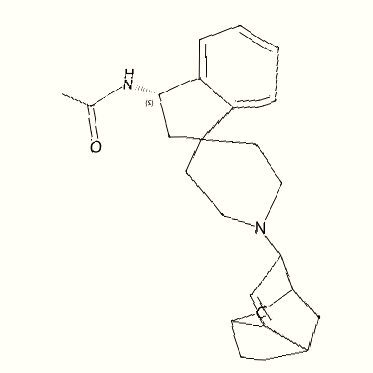 CC(=O)N[C@H]1CC2(CCN(C3C=C4C5CC4CC3C5)CC2)c2ccccc21